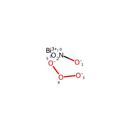 O=[N+]([O-])[O-].[Bi+3].[O-]O[O-]